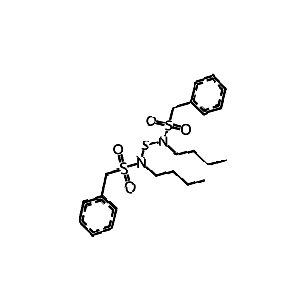 CCCCN(SN(CCCC)S(=O)(=O)Cc1ccccc1)S(=O)(=O)Cc1ccccc1